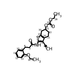 C#Cc1c(NC(=O)CCc2ccccc2OCC)sc2c1CCC(OC(=O)OCC)C2